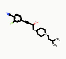 CC(C)CC[Si@H]1CC[C@H](CC(O)C#Cc2ccc(C#N)c(F)c2)CC1